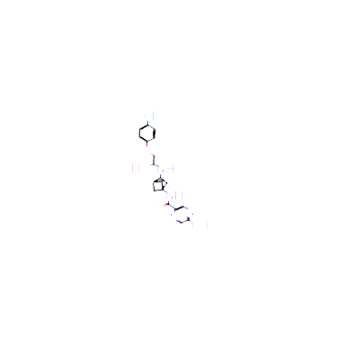 Cc1cnc(C(=O)NC23CC(C2)C(NC(O)COc2ccc(Cl)cc2)C3)cn1